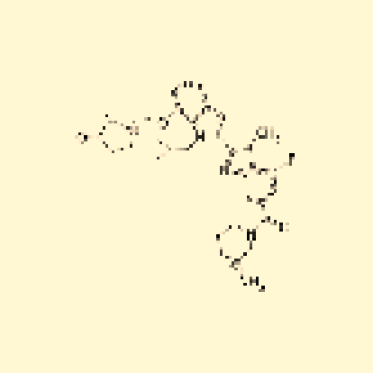 Cc1c(-c2cc3cccc(OC[C@@H]4CCC(=O)N4)c3n2CC2CC2)nn2cc(C(=O)N3CCC[C@@H](N)C3)cc(F)c12